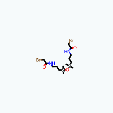 C[Si](C)(CCCNC(=O)CBr)O[Si](C)(C)CCCNC(=O)CBr